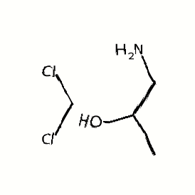 CC(O)CN.ClCCl